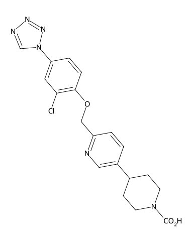 O=C(O)N1CCC(c2ccc(COc3ccc(-n4cnnn4)cc3Cl)nc2)CC1